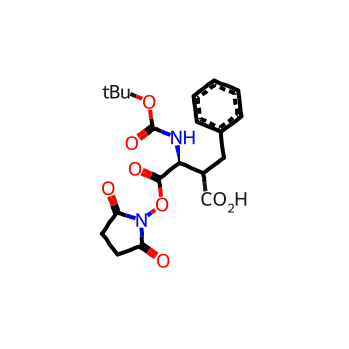 CC(C)(C)OC(=O)N[C@H](C(=O)ON1C(=O)CCC1=O)C(Cc1ccccc1)C(=O)O